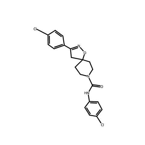 O=C(Nc1ccc(Cl)cc1)N1CCC2(CC1)CC(c1ccc(Cl)cc1)=NO2